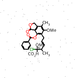 COc1c(C)c2c(c(OC(=O)c3ccccc3)c1CC=CC(C)[C@](Cl)(OC)C(=O)O)C(=O)OC2